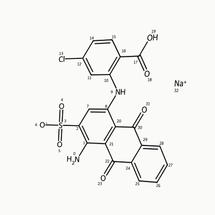 Nc1c(S(=O)(=O)[O-])cc(Nc2cc(Cl)ccc2C(=O)O)c2c1C(=O)c1ccccc1C2=O.[Na+]